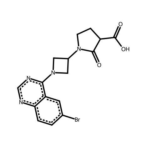 O=C(O)C1CCN(C2CN(c3ncnc4ccc(Br)cc34)C2)C1=O